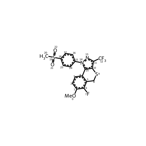 COc1ccc2c(c1F)CSc1c(C(F)(F)F)nn(-c3ccc(S(C)(=O)=O)cc3)c1-2